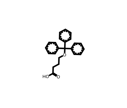 O=C(O)CCCOC(c1ccccc1)(c1ccccc1)c1ccccc1